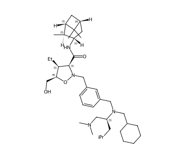 CC[C@@H]1[C@H](CO)ON(Cc2cccc(CN(CC3CCCCC3)[C@@H](CC(C)C)CN(C)C)c2)[C@@H]1C(=O)N[C@H]1C[C@H]2C[C@@H]([C@@H]1C)C2(C)C